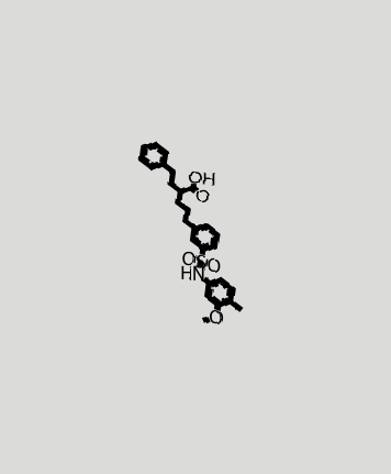 COc1cc(NS(=O)(=O)c2cccc(CCCC(CCc3ccccc3)C(=O)O)c2)ccc1C